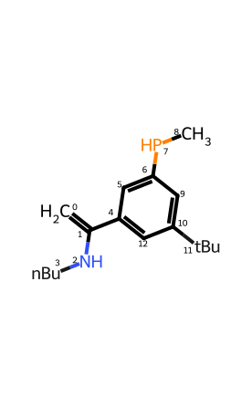 C=C(NCCCC)c1cc(PC)cc(C(C)(C)C)c1